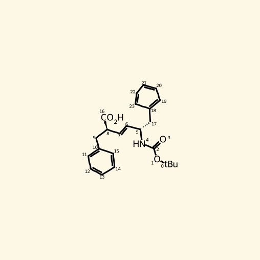 CC(C)(C)OC(=O)N[C@H](C=C[C@@H](Cc1ccccc1)C(=O)O)Cc1ccccc1